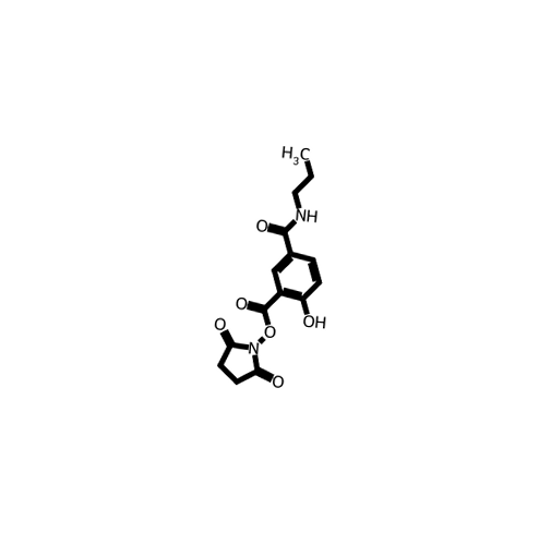 CCCNC(=O)c1ccc(O)c(C(=O)ON2C(=O)CCC2=O)c1